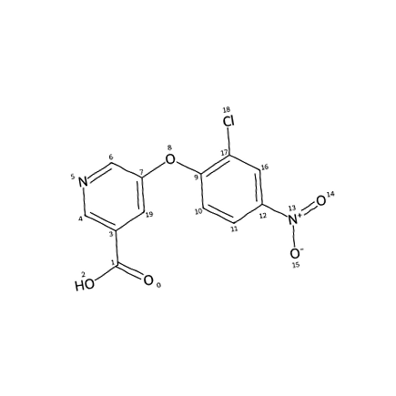 O=C(O)c1cncc(Oc2ccc([N+](=O)[O-])cc2Cl)c1